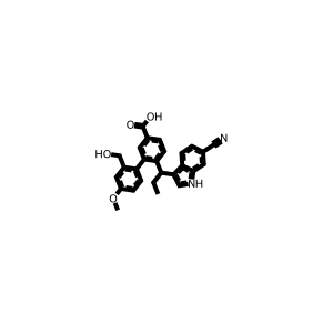 CCC(c1ccc(C(=O)O)cc1-c1ccc(OC)cc1CO)c1c[nH]c2cc(C#N)ccc12